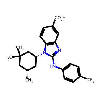 C[C@H]1C[C@@H](n2c(Nc3ccc(C(F)(F)F)cc3)nc3cc(C(=O)O)ccc32)CC(C)(C)C1